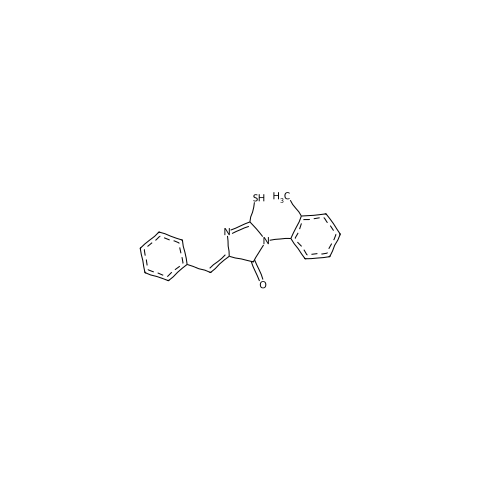 Cc1ccccc1N1C(=O)C(=Cc2ccccc2)N=C1S